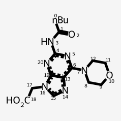 CCCCC(=O)Nc1nc(N2CCOCC2)c2ncn(CC(=O)O)c2n1